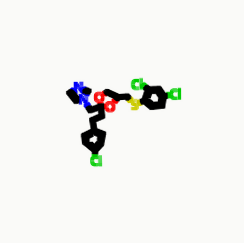 Clc1ccc(CCC2(Cn3ccnc3)OCC(CSc3ccc(Cl)cc3Cl)O2)cc1